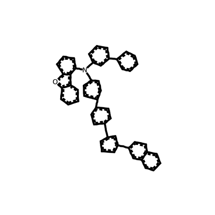 c1ccc(-c2cccc(N(c3ccc(-c4ccc(-c5cccc(-c6ccc7ccccc7c6)c5)cc4)cc3)c3cccc4oc5ccccc5c34)c2)cc1